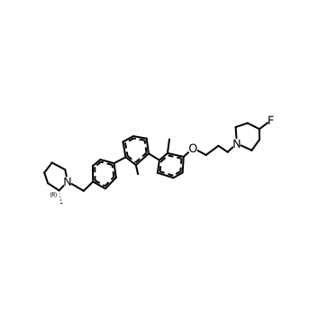 Cc1c(OCCCN2CCC(F)CC2)cccc1-c1cccc(-c2ccc(CN3CCCC[C@H]3C)cc2)c1C